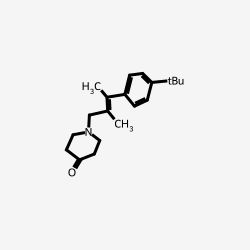 C/C(CN1CCC(=O)CC1)=C(/C)c1ccc(C(C)(C)C)cc1